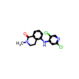 CN1CCc2c(Nc3cc(Cl)ncc3Cl)cccc2C1=O